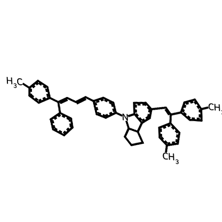 Cc1ccc(C(=Cc2ccc3c(c2)C2CCCC2N3c2ccc(/C=C/C=C(\c3ccccc3)c3ccc(C)cc3)cc2)c2ccc(C)cc2)cc1